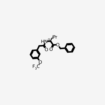 CC(C)[C@H](NC(=O)Cc1cccc(OC(F)(F)F)c1)C(=O)OCc1ccccc1